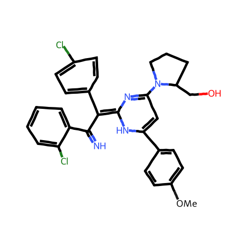 COc1ccc(C2=CC(N3CCCC3CO)=N/C(=C(/C(=N)c3ccccc3Cl)c3ccc(Cl)cc3)N2)cc1